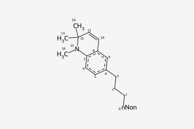 CCCCCCCCCCCCc1ccc2c(c1)C=CC(C)(C)N2C